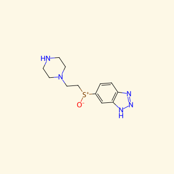 [O-][S+](CCN1CCNCC1)c1ccc2nn[nH]c2c1